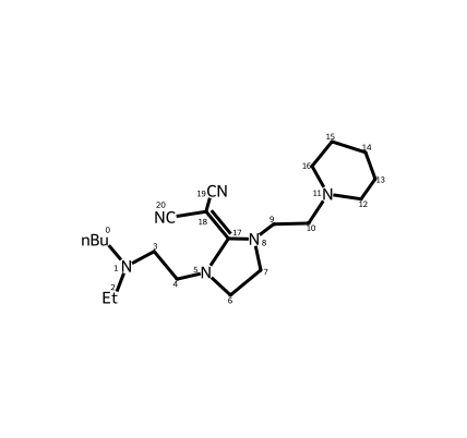 CCCCN(CC)CCN1CCN(CCN2CCCCC2)C1=C(C#N)C#N